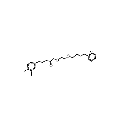 Cc1ccc(CCCC(=O)COCCOCCCCc2ccccn2)cc1C